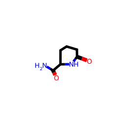 NC(=O)C1CCCC(=O)N1